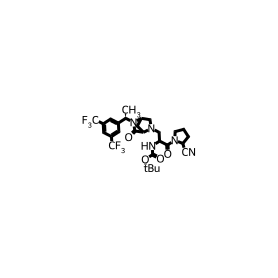 C[C@@H](c1cc(C(F)(F)F)cc(C(F)(F)F)c1)N1C(=O)C2CC1CN2CC(NC(=O)OC(C)(C)C)C(=O)N1CCCC1C#N